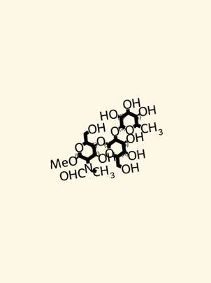 CO[C@@H]1OC(CO)[C@@H](O[C@@H]2OC(CO)[C@H](O)[C@H](O)C2O[C@@H]2OC(C)[C@@H](O)C(O)[C@@H]2O)[C@H](O)C1N(C)C=O